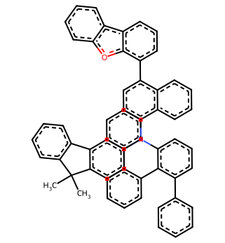 CC1(C)c2ccccc2-c2cc(N(c3cccc(-c4ccccc4)c3-c3ccccc3-c3ccccc3)c3ccc(-c4cccc5c4oc4ccccc45)c4ccccc34)ccc21